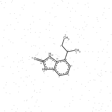 CCC(C)c1cccc2[nH]c(=O)[nH]c12